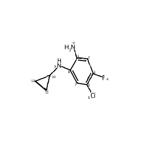 Nc1cc(F)c(Cl)cc1NC1CC1